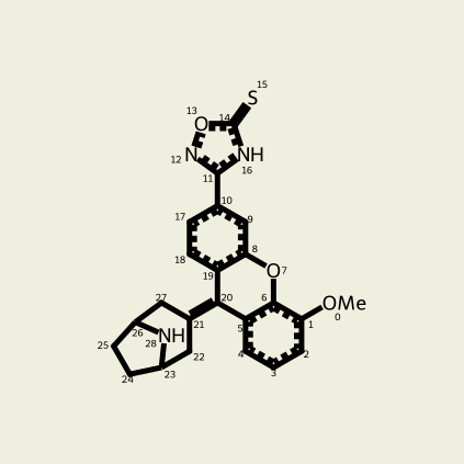 COc1cccc2c1Oc1cc(-c3noc(=S)[nH]3)ccc1C2=C1CC2CCC(C1)N2